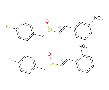 O=[N+]([O-])c1cccc(/C=C/[S+]([O-])Cc2ccc(F)cc2)c1.O=[N+]([O-])c1ccccc1/C=C/[S+]([O-])Cc1ccc(F)cc1